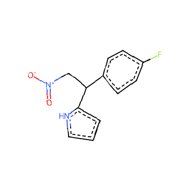 O=[N+]([O-])CC(c1ccc(F)cc1)c1ccc[nH]1